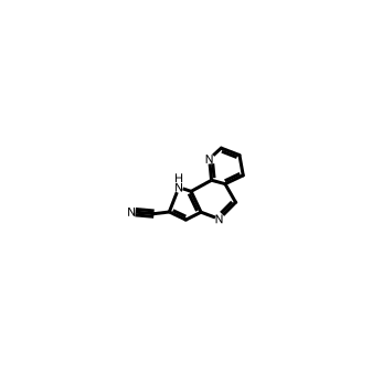 N#Cc1cc2ncc3cccnc3c2[nH]1